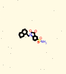 NS(=O)(=O)c1ccc2c(c1)C(=O)C(=O)N2Cc1cccc2ccccc12